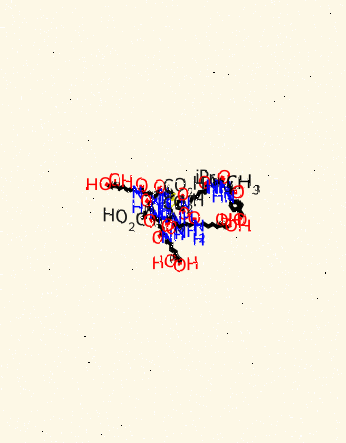 CC(C)[C@H](NC(=O)CCCCCN1C(=O)CC(SC[C@@H](NC(=O)[C@H](CCC(=O)NCCCC[C@H](O)CO)NC(=O)[C@@H](CCC(=O)O)NC(=O)[C@H](CCC(=O)NCCCC[C@H](O)CO)NC(=O)[C@@H](CCC(=O)O)NC(=O)[C@@H](N)CCC(=O)NCCCC[C@H](O)CO)C(=O)O)C1=O)C(=O)N[C@@H](C)C(=O)Nc1ccc(CO)cc1